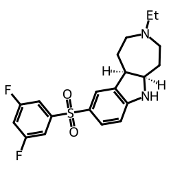 CCN1CC[C@@H]2c3cc(S(=O)(=O)c4cc(F)cc(F)c4)ccc3N[C@@H]2CC1